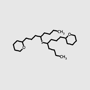 CCCCC(CCCC1CCCCO1)SC(CCCC)CCCC1CCCCO1